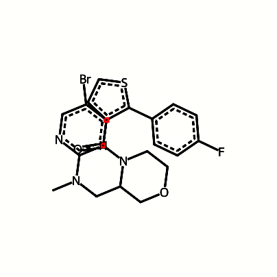 CN(CC1COCCN1C(=O)c1ccsc1-c1ccc(F)cc1)c1ncc(Br)cn1